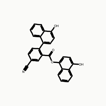 N#Cc1ccc(-c2ccc(O)c3ccccc23)c(C(=O)Oc2ccc(O)c3ccccc23)c1